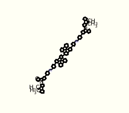 CC1(C)c2ccccc2-c2ccc(-n3c4ccccc4c4cc(-c5ccc(/C=C/c6ccc(-c7ccc8c(c7)C7(c9ccccc9-c9ccccc97)c7cc(-c9ccc%10c(c9)C9(c%11ccccc%11-c%11ccccc%119)c9cc(-c%11ccc(/C=C/c%12ccc(-c%13ccc%14c(c%13)c%13ccccc%13n%14-c%13ccc%14c(c%13)C(C)(C)c%13ccccc%13-%14)cc%12)cc%11)ccc9-%10)ccc7-8)cc6)cc5)ccc43)cc21